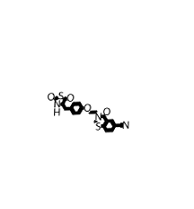 N#Cc1ccc2c(c1)C(=O)N(CCOc1ccc(CC3NC(=O)SC3=O)cc1)CS2